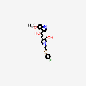 COc1ccc2nccc([C@@H](O)CC[C@@H]3CCN(CCCSc4ccc(F)cc4)C[C@@H]3CO)c2c1